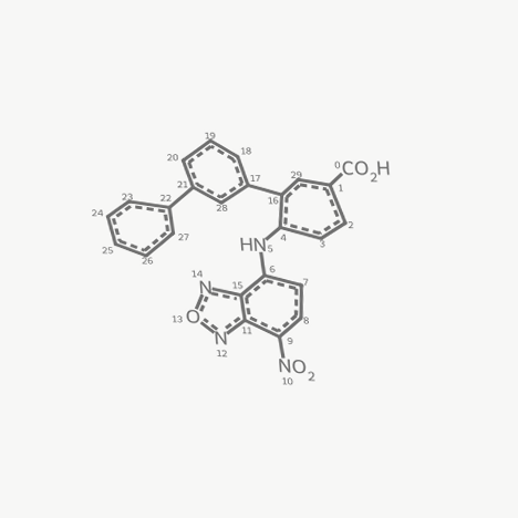 O=C(O)c1ccc(Nc2ccc([N+](=O)[O-])c3nonc23)c(-c2cccc(-c3ccccc3)c2)c1